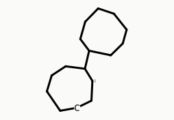 [C]1CCCCCCC1C1CCCCCCC1